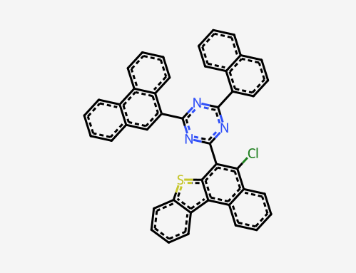 Clc1c(-c2nc(-c3cccc4ccccc34)nc(-c3cc4ccccc4c4ccccc34)n2)c2sc3ccccc3c2c2ccccc12